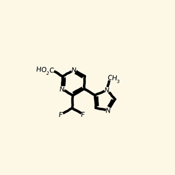 Cn1cncc1-c1cnc(C(=O)O)nc1C(F)F